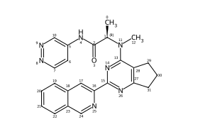 C[C@H](C(=O)Nc1ccnnc1)N(C)c1nc(-c2cc3ccccc3cn2)nc2c1CCC2